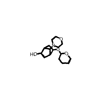 OC1CC2C(OC3CCCCO3)CC1C2N1CCOCC1